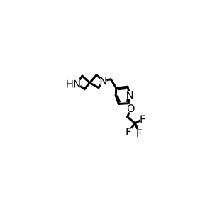 FC(F)(F)COc1ccc(CN2CC3(CNC3)C2)cn1